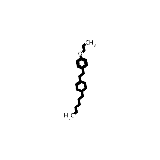 CCCCCCC1CC=C(CCc2ccc(OCCC)cc2)CC1